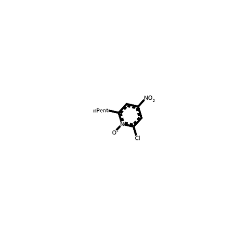 CCCCCc1cc([N+](=O)[O-])cc(Cl)[n+]1[O-]